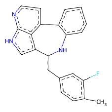 Cc1ccc(CC2Nc3ccccc3-c3ccnc4[nH]cc2c34)cc1F